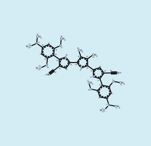 COc1cc(N(C)C)cc(OC)c1-c1sc(-c2sc(-c3cc(C#N)c(-c4c(OC)cc(N(C)C)cc4OC)s3)c(C)c2C)cc1C#N